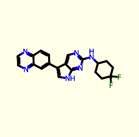 FC1(F)CCC(Nc2ncc3c(-c4ccc5nccnc5c4)c[nH]c3n2)CC1